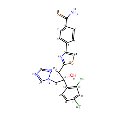 CC(c1nc(-c2ccc(C(N)=S)cc2)cs1)[C@](O)(Cn1cncn1)c1ccc(F)cc1F